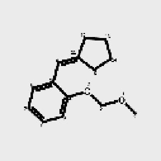 COCOc1ccccc1C=C1CCCC1